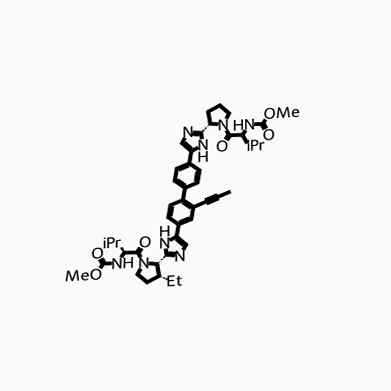 CC#Cc1cc(-c2cnc([C@@H]3[C@H](CC)CCN3C(=O)[C@@H](NC(=O)OC)C(C)C)[nH]2)ccc1-c1ccc(-c2cnc([C@@H]3CCCN3C(=O)C(NC(=O)OC)C(C)C)[nH]2)cc1